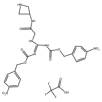 O=C(CN/C(=N\C(=O)OCc1ccc([N+](=O)[O-])cc1)NC(=O)OCc1ccc([N+](=O)[O-])cc1)NC1CNC1.O=C(O)C(F)(F)F